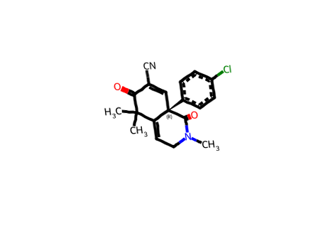 CN1CC=C2C(C)(C)C(=O)C(C#N)=C[C@]2(c2ccc(Cl)cc2)C1=O